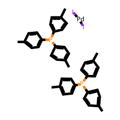 Cc1ccc(P(c2ccc(C)cc2)c2ccc(C)cc2)cc1.Cc1ccc(P(c2ccc(C)cc2)c2ccc(C)cc2)cc1.[I][Pd][I]